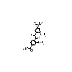 Cn1cc([N+](=O)[O-])cc1C(=O)Nc1ccc(C(=O)O)cc1N